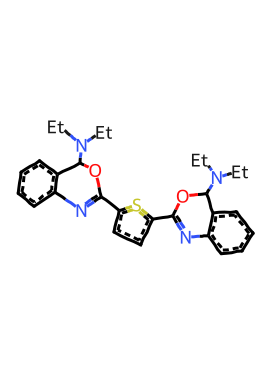 CCN(CC)C1OC(c2ccc(C3=Nc4ccccc4C(N(CC)CC)O3)s2)=Nc2ccccc21